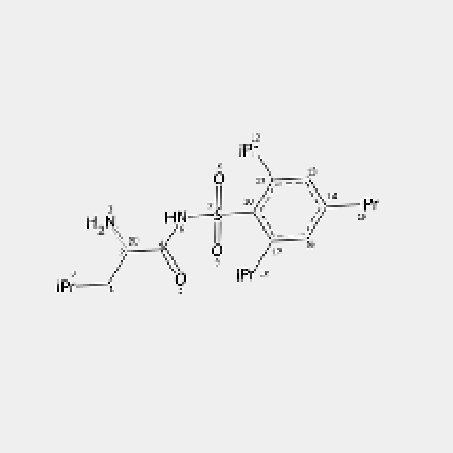 CC(C)C[C@H](N)C(=O)NS(=O)(=O)c1c(C(C)C)cc(C(C)C)cc1C(C)C